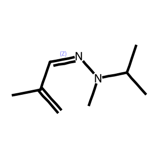 C=C(C)/C=N\N(C)C(C)C